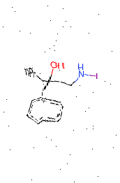 CCCC(O)(CNI)c1ccccc1